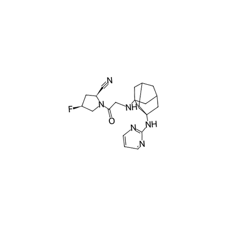 N#C[C@@H]1C[C@H](F)CN1C(=O)CNC12CC3CC(C1)CC(Nc1ncccn1)(C3)C2